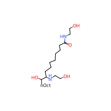 CCCCCCCCC(O)C(CCCCCCCC(=O)NCCO)NCCO